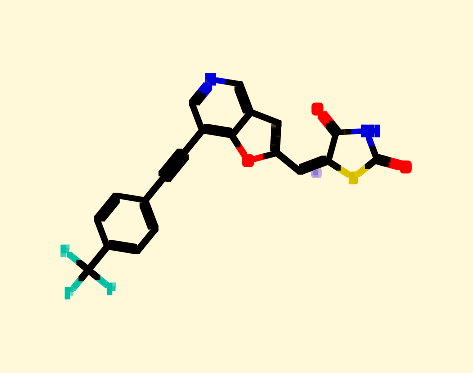 O=C1NC(=O)/C(=C\c2cc3cncc(C#Cc4ccc(C(F)(F)F)cc4)c3o2)S1